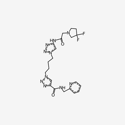 O=C(CN1CCC(F)(F)C1)Nc1cn(CCCCn2cc(C(=O)NCc3ccccn3)nn2)nn1